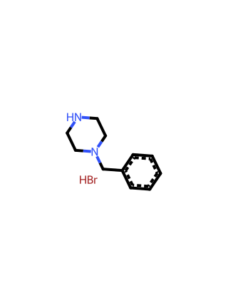 Br.c1ccc(CN2CCNCC2)cc1